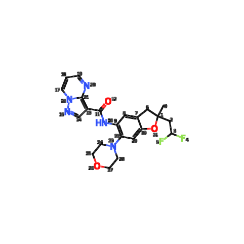 CC1(CC(F)F)Cc2cc(NC(=O)c3cnn4cccnc34)c(N3CCOCC3)cc2O1